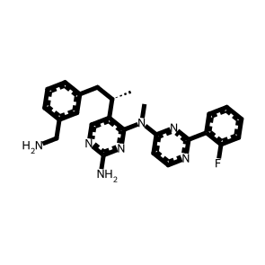 C[C@@H](Cc1cccc(CN)c1)c1cnc(N)nc1N(C)c1ccnc(-c2ccccc2F)n1